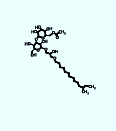 CCC(C)CCCCCCCCCCCOCC(O)CO[C@H]1O[C@H](CO)[C@@H](O)[C@H](OC2O[C@H](COC(C)=O)[C@@H](O)[C@H](O)[C@H]2O)[C@@H]1O